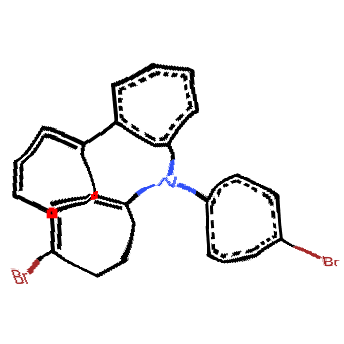 BrC1=CC=C(N(c2ccc(Br)cc2)c2ccccc2C2=C=C=CC=C2)CC1